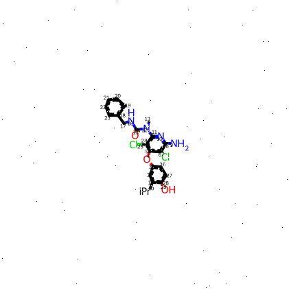 CC(C)c1cc(Oc2c(Cl)c(N)nc(N(C)C(=O)NCc3ccccc3)c2Cl)ccc1O